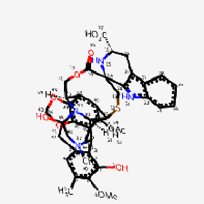 COc1c(C)cc2c(c1O)C1[C@@H]3[C@@H]4SC[C@]5(N[C@H](C(=O)O)Cc6c5[nH]c5ccccc65)C(=O)OC[C@@H](c5c6c(c(C)c(OC(C)=O)c54)OCO6)N3C(O)(C2)CN1C